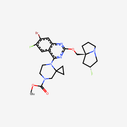 CC(C)(C)OC(=O)N1CCN(c2nc(OC[C@@]34CCCN3C[C@H](F)C4)nc3cc(Br)c(F)cc23)C2(CC2)C1